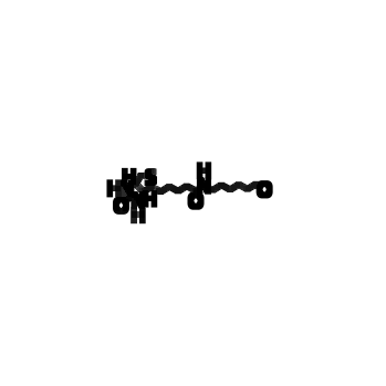 O=CCCCCCNC(=O)CCCC[C@@H]1SC[C@@H]2NC(=O)N[C@@H]21